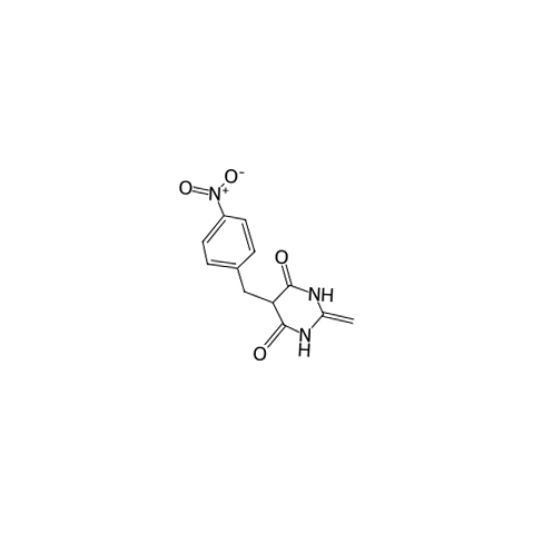 C=C1NC(=O)C(Cc2ccc([N+](=O)[O-])cc2)C(=O)N1